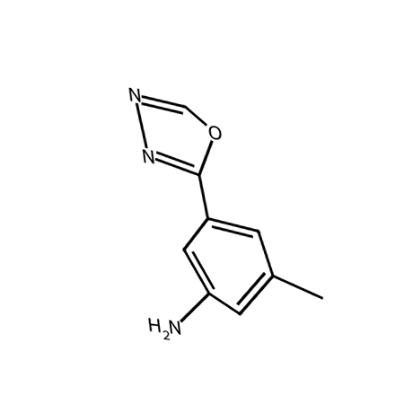 Cc1cc(N)cc(-c2nnco2)c1